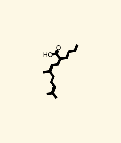 CCCCC(CC=C(C)CCC=C(C)C)C(=O)O